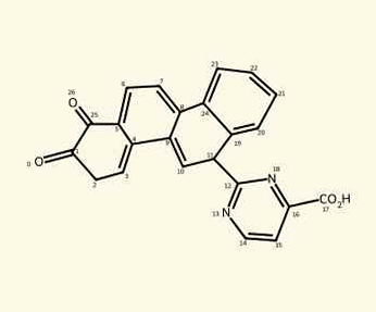 O=C1CC=c2c(ccc3c2=CC(c2nccc(C(=O)O)n2)c2ccccc2-3)C1=O